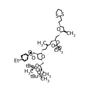 C=C(CC[C@@H](CC[C@@H]1O[C@@H](CCC2SCCCS2)CC1=C)OS(C)(=O)=O)CC[C@@H]1O[C@H](C[C@@H](CO[Si](C)(C)C(C)(C)C)O[Si](C)(C)C(C)(C)C)C[C@H]1CS(=O)(=O)c1ccc(CC)cc1